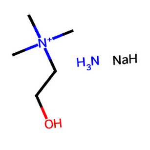 C[N+](C)(C)CCO.N.[NaH]